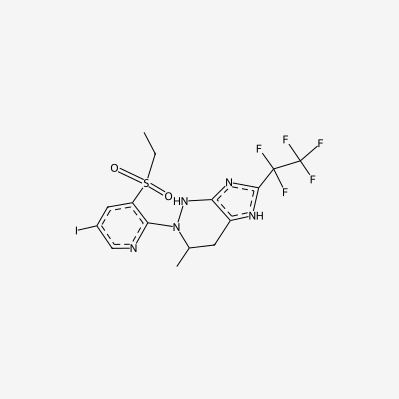 CCS(=O)(=O)c1cc(I)cnc1N1Nc2nc(C(F)(F)C(F)(F)F)[nH]c2CC1C